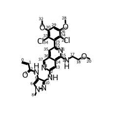 C=CC(=O)Nc1cn(C)nc1Nc1cc2c(NCCOC)nc(-c3c(Cl)c(OC)cc(OC)c3Cl)cc2cn1